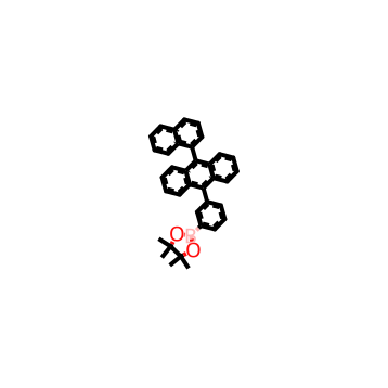 CC1(C)OB(c2cccc(-c3c4ccccc4c(-c4cccc5ccccc45)c4ccccc34)c2)OC1(C)C